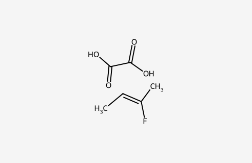 CC=C(C)F.O=C(O)C(=O)O